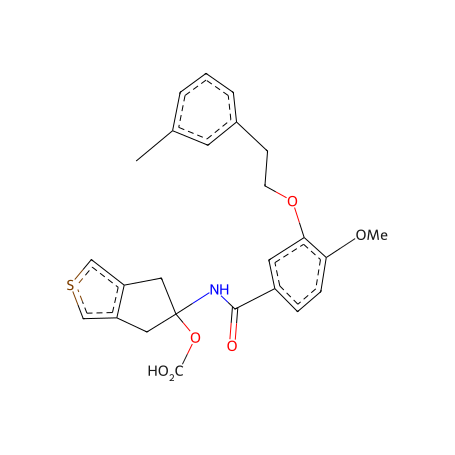 COc1ccc(C(=O)NC2(OC(=O)O)Cc3cscc3C2)cc1OCCc1cccc(C)c1